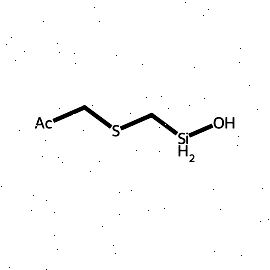 CC(=O)CSC[SiH2]O